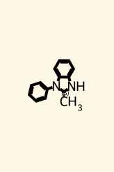 C[C@H]1Nc2ccccc2N1c1ccccc1